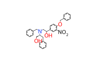 O=[N+]([O-])c1cc([C@@H](O)CN(Cc2ccccc2)[C@H](CO)Cc2ccccc2)ccc1OCc1ccccc1